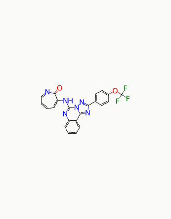 O=c1nccccc1Nc1nc2ccccc2c2nc(-c3ccc(OC(F)(F)F)cc3)nn12